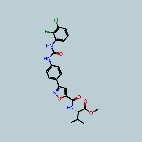 COC(=O)[C@@H](NC(=O)c1cc(-c2ccc(NC(=O)Nc3cccc(Cl)c3F)cc2)no1)C(C)C